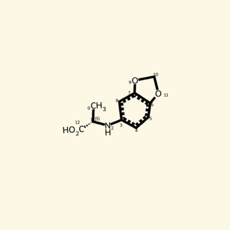 C[C@H](Nc1ccc2c(c1)OCO2)C(=O)O